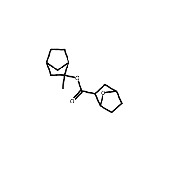 CC1(OC(=O)C2CC3CCC2O3)CC2CCC1C2